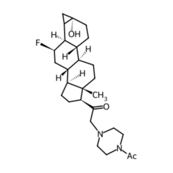 CC(=O)N1CCN(CC(=O)[C@H]2CC[C@H]3[C@@H]4C[C@@H](F)[C@H]5C6C[C@@]6(O)CC[C@@H]5[C@H]4CC[C@]23C)CC1